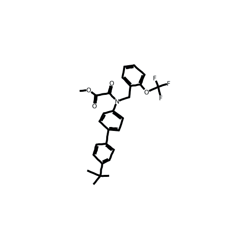 COC(=O)C(=O)N(Cc1ccccc1OC(F)(F)F)c1ccc(-c2ccc(C(C)(C)C)cc2)cc1